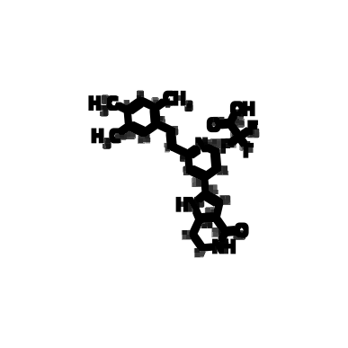 Cc1cc(C)c(C=Cc2cc(-c3cc4c([nH]3)CCNC4=O)ccn2)cc1C.O=C(O)C(F)(F)F